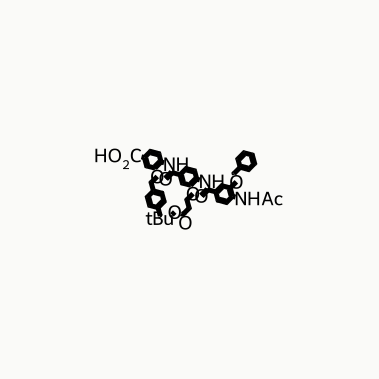 CC(=O)Nc1ccc(C(=O)Nc2ccc(C(=O)Nc3ccc(C(=O)O)cc3OCc3ccc(C)cc3)cc2OCCC(=O)OC(C)(C)C)cc1OCc1ccccc1